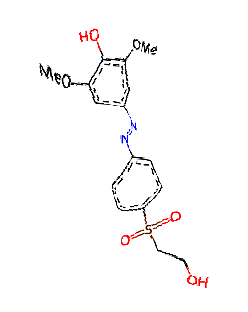 COc1cc(/N=N/c2ccc(S(=O)(=O)CCO)cc2)cc(OC)c1O